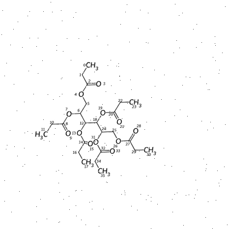 CCC(=O)OCC(OC(=O)CC)C(OC(=O)CC)C(OC(=O)CC)C(COC(=O)CC)OC(=O)CC